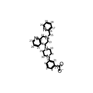 O=[N+]([O-])c1cccc(N2CCN(CCN(Cc3ccccn3)Cc3ccccn3)CC2)c1